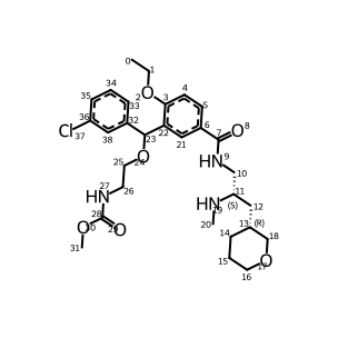 CCOc1ccc(C(=O)NC[C@H](C[C@H]2CCCOC2)NC)cc1C(OCCNC(=O)OC)c1cccc(Cl)c1